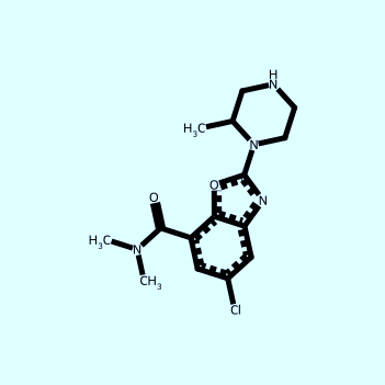 CC1CNCCN1c1nc2cc(Cl)cc(C(=O)N(C)C)c2o1